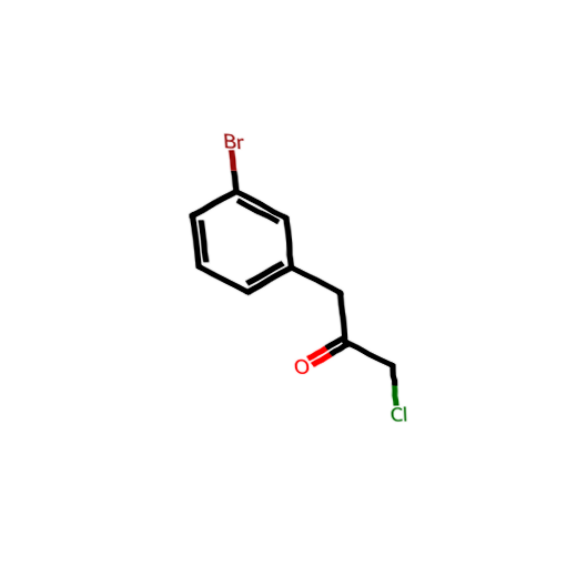 O=C(CCl)Cc1cccc(Br)c1